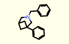 c1ccc(CN2CC3CC(c4ccccc4)(C3)C2)cc1